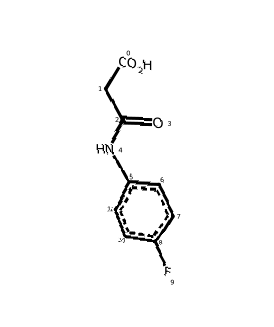 O=C(O)CC(=O)Nc1ccc(F)cc1